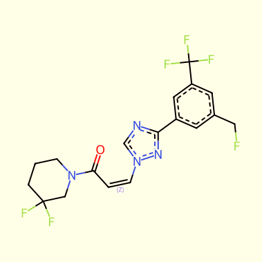 O=C(/C=C\n1cnc(-c2cc(CF)cc(C(F)(F)F)c2)n1)N1CCCC(F)(F)C1